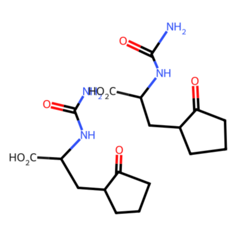 NC(=O)NC(CC1CCCC1=O)C(=O)O.NC(=O)NC(CC1CCCC1=O)C(=O)O